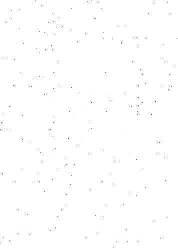 CN1CCC[C@H]1c1cccnc1.CN1CCC[C@H]1c1cccnc1